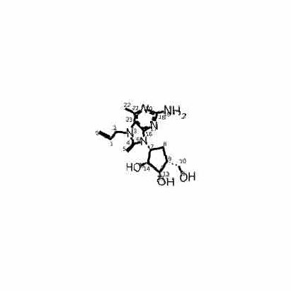 C=CCN1C(=C)N([C@@H]2C[C@H](CO)[C@@H](O)[C@H]2O)c2nc(N)nc(C)c21